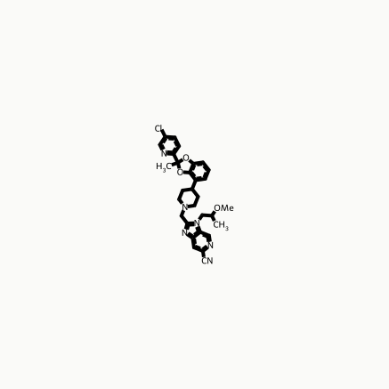 COC(C)Cn1c(CN2CCC(c3cccc4c3OC(C)(c3ccc(Cl)cn3)O4)CC2)nc2cc(C#N)ncc21